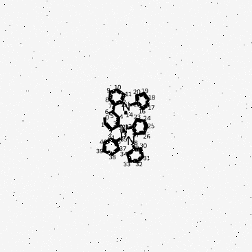 C/C=C\C(=C/C(C)c1ccccc1N(C)c1ccccc1)N1c2ccccc2N(c2ccccc2)P1c1ccccc1